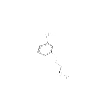 CCCCCCCCCOc1cccc(C=O)c1